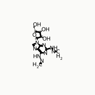 C=NNc1nc(NN=C)c2ncn([C@@H]3O[C@H](CO)[C@@H](O)[C@H]3O)c2n1